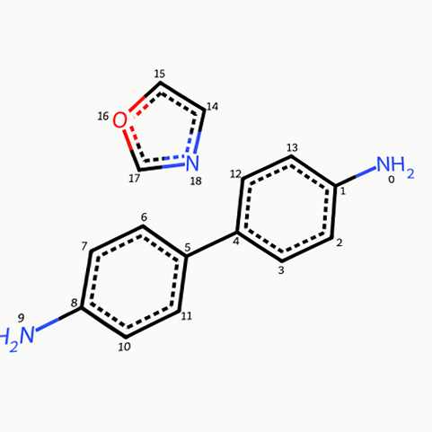 Nc1ccc(-c2ccc(N)cc2)cc1.c1cocn1